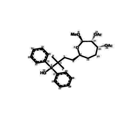 CO[C@@H]1O[C@H](CCC(C)(C)[Si](O)(c2ccccc2)c2ccccc2)CC[C@@H](OC(C)=O)[C@H]1OC(C)=O